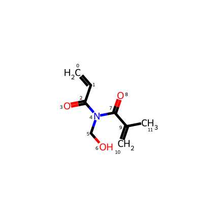 C=CC(=O)N(CO)C(=O)C(=C)C